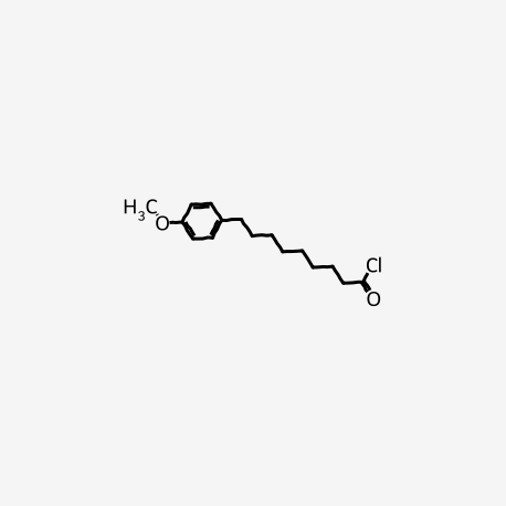 COc1ccc(CCCCCCCCC(=O)Cl)cc1